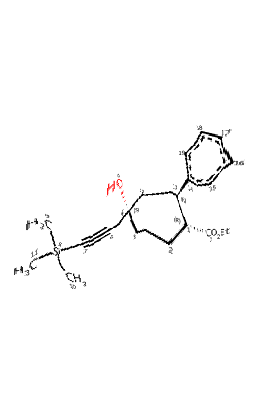 CCOC(=O)[C@@H]1CC[C@@](O)(C#C[Si](C)(C)C)C[C@H]1c1ccccc1